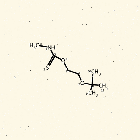 CNC(=S)OCCOC(C)(C)C